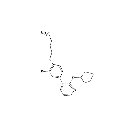 O=C(O)CCCCc1ccc(-c2cccnc2OC2CCCC2)cc1F